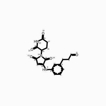 O=CCCc1cccc(NC2=CC(=O)N(C3CCC(=O)NC3=O)C2=O)c1